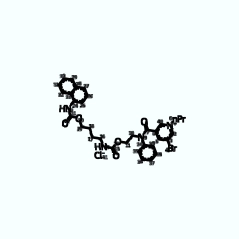 CCC[n+]1cc(Br)cc(C(=O)N(CCOC(=O)NCCCCOC(=O)Nc2cccc3ccccc23)c2ccccc2)c1.[Cl-]